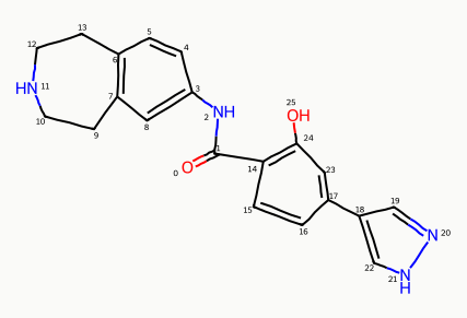 O=C(Nc1ccc2c(c1)CCNCC2)c1ccc(-c2cn[nH]c2)cc1O